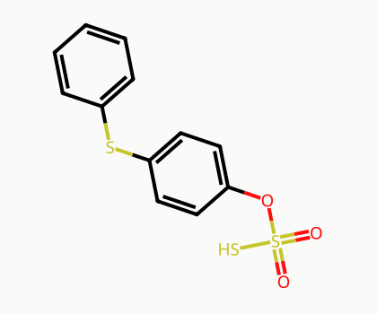 O=S(=O)(S)Oc1ccc(Sc2ccccc2)cc1